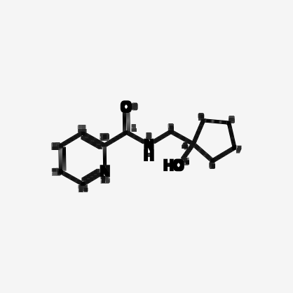 O=C(NCC1(O)CCCC1)c1ccccn1